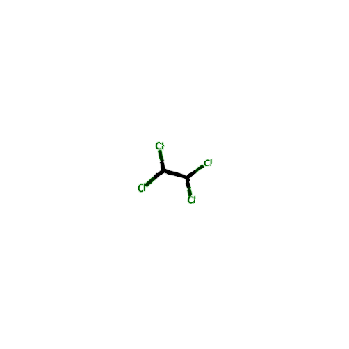 Cl[C](Cl)C(Cl)Cl